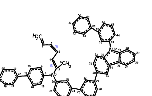 C=C/C=C\C=C(/C)N(c1ccc(-c2ccccc2)cc1)c1cccc(-c2cccc(-c3ccc4c(c3)c3ccccc3n4-c3cccc(-c4ccccc4)c3)c2)c1